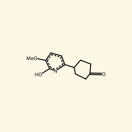 COc1ccc(C2CCC(=O)CC2)nc1O